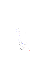 Cc1nnc(N(C)S(=O)(=O)NC(=O)c2cnc3ccc(N4C[C@@H](F)C[C@@H]4c4cc(F)ccc4OC4CCOCC4)cn23)s1